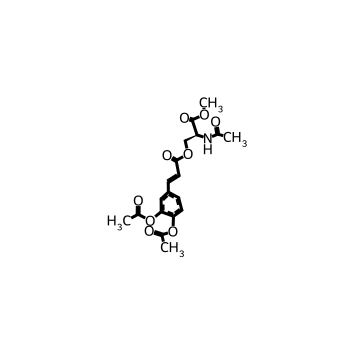 COC(=O)[C@H](COC(=O)C=Cc1ccc(OC(C)=O)c(OC(C)=O)c1)NC(C)=O